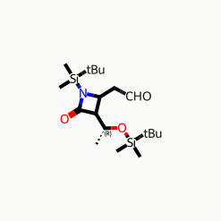 C[C@@H](O[Si](C)(C)C(C)(C)C)C1C(=O)N([Si](C)(C)C(C)(C)C)C1CC=O